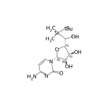 CC(C)(C)[Si](C)(C)C(O)[C@H]1O[C@@H](n2ccc(N)nc2=O)[C@H](O)[C@@H]1O